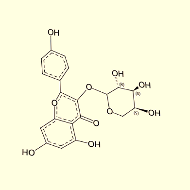 O=c1c(OC2OC[C@H](O)[C@H](O)[C@H]2O)c(-c2ccc(O)cc2)oc2cc(O)cc(O)c12